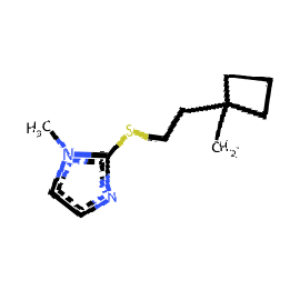 [CH2]C1(CCSc2nccn2C)CCC1